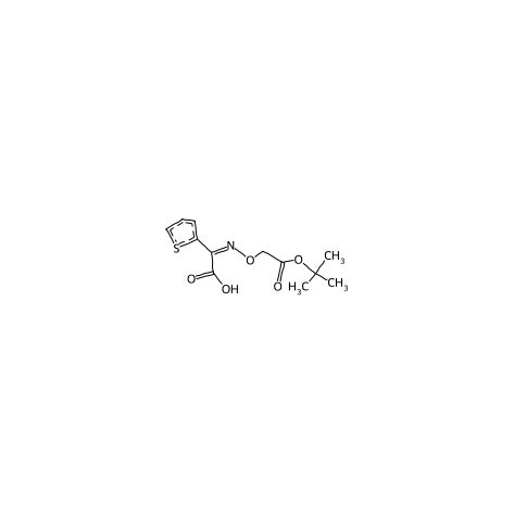 CC(C)(C)OC(=O)CON=C(C(=O)O)c1cccs1